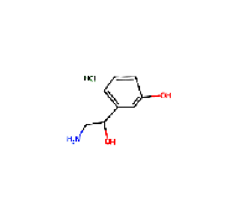 Cl.NCC(O)c1cccc(O)c1